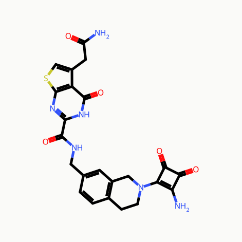 NC(=O)Cc1csc2nc(C(=O)NCc3ccc4c(c3)CN(c3c(N)c(=O)c3=O)CC4)[nH]c(=O)c12